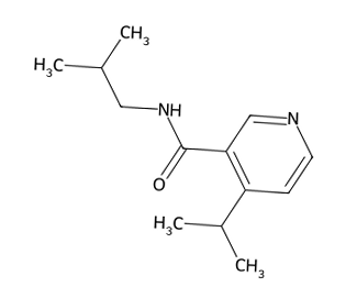 CC(C)CNC(=O)c1cnccc1C(C)C